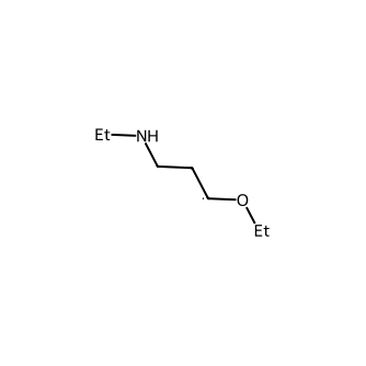 CCNCC[CH]OCC